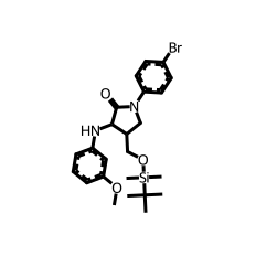 COc1cccc(NC2C(=O)N(c3ccc(Br)cc3)CC2CO[Si](C)(C)C(C)(C)C)c1